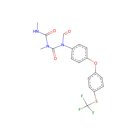 CNC(=O)N(C)C(=O)N(C=O)c1ccc(Oc2ccc(SC(F)(F)F)cc2)cc1